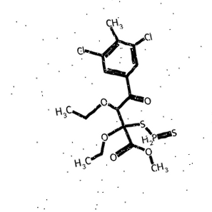 CCOC(C(=O)c1cc(Cl)c(C)c(Cl)c1)C(OCC)(S[PH2]=S)C(=O)OC